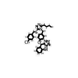 CCCCc1nnc(SCc2ccc(Cl)cc2)n1Cc1ccc(OC(c2nnn[nH]2)c2ccccc2Cl)cc1